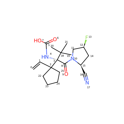 C=CC1([C@](NC(=O)O)(C(=O)N2C[C@@H](F)C[C@H]2C#N)C(C)(C)C)CCCC1